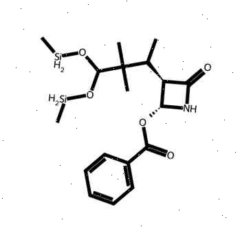 C[SiH2]OC(O[SiH2]C)C(C)(C)C(C)[C@H]1C(=O)N[C@@H]1OC(=O)c1ccccc1